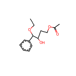 CCOC(c1ccccc1)C(O)CCOC(C)=O